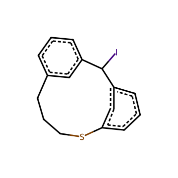 IC1c2cccc(c2)CCCSc2cccc1c2